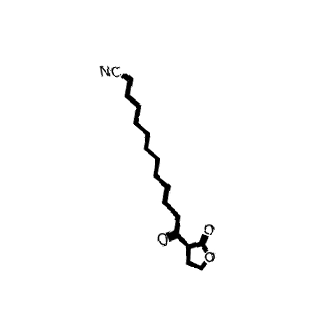 N#CCCCCCCCCCCCC(=O)C1CCOC1=O